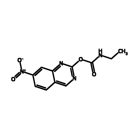 CCNC(=O)Oc1ncc2ccc([N+](=O)[O-])cc2n1